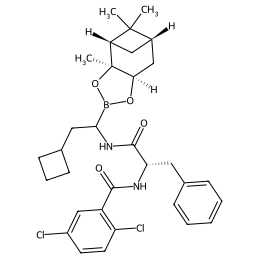 CC1(C)[C@@H]2C[C@H]3OB(C(CC4CCC4)NC(=O)[C@H](Cc4ccccc4)NC(=O)c4cc(Cl)ccc4Cl)O[C@@]3(C)[C@H]1C2